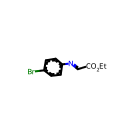 CCOC(=O)C=Nc1ccc(Br)cc1